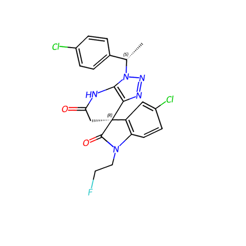 C[C@@H](c1ccc(Cl)cc1)n1nnc2c1NC(=O)C[C@]21C(=O)N(CCF)c2ccc(Cl)cc21